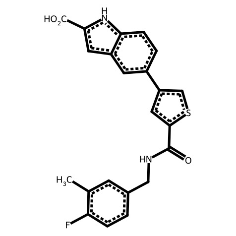 Cc1cc(CNC(=O)c2cc(-c3ccc4[nH]c(C(=O)O)cc4c3)cs2)ccc1F